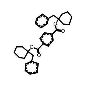 O=C(OC1(Cc2ccccc2)CCCCC1)c1ccc(C(=O)OC2(Cc3ccccc3)CCCCC2)cc1